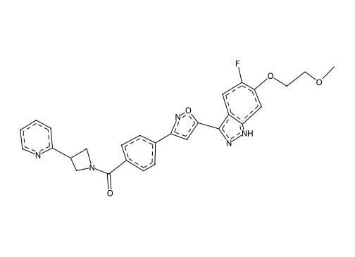 COCCOc1cc2[nH]nc(-c3cc(-c4ccc(C(=O)N5CC(c6ccccn6)C5)cc4)no3)c2cc1F